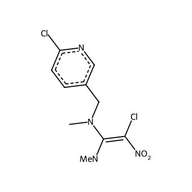 CNC(=C(Cl)[N+](=O)[O-])N(C)Cc1ccc(Cl)nc1